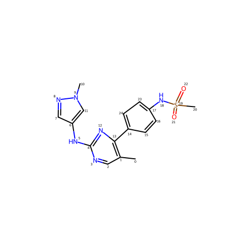 Cc1cnc(Nc2cnn(C)c2)nc1-c1ccc(NS(C)(=O)=O)cc1